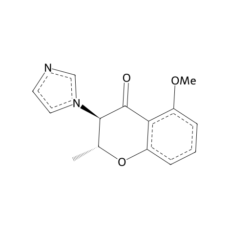 COc1cccc2c1C(=O)[C@H](n1ccnc1)[C@@H](C)O2